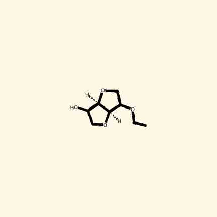 CCOC1CO[C@@H]2C(O)CO[C@H]12